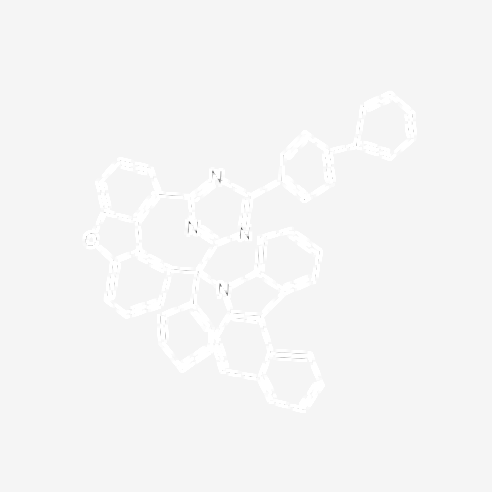 c1ccc(-c2ccc(-c3nc4nc(n3)C(c3ccccc3)(n3c5ccccc5c5c6ccccc6ccc53)c3cccc5oc6cccc-4c6c35)cc2)cc1